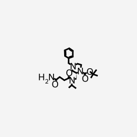 CC(C)N(C[C@@H]1CN(Cc2ccccc2)CCN1C(=O)OC(C)(C)C)C(=O)CCC(N)=O